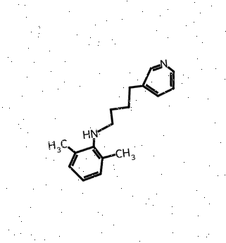 Cc1cccc(C)c1NCCCCc1cccnc1